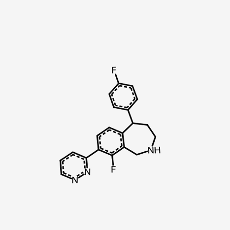 Fc1ccc(C2CCNCc3c2ccc(-c2cccnn2)c3F)cc1